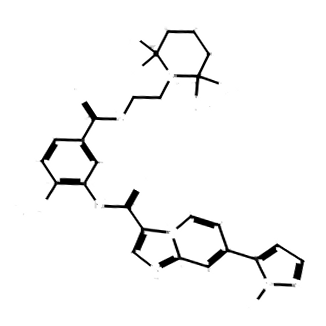 Cl.Cn1nccc1-c1ccn2c(C(=O)Nc3cc(C(=O)NCCN4C(C)(C)CCCC4(C)C)ccc3F)cnc2c1